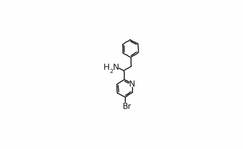 NC(Cc1ccccc1)c1ccc(Br)cn1